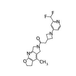 Cc1c2c(nc3c1CCO3)CN(C(=O)CC1CN(c3ccnc(C(F)F)c3)C1)C2